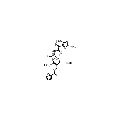 CON=C(C(=O)N[C@@H]1C(=O)N2C(C(=O)O)=C(CSC(=O)c3ccco3)CS[C@H]12)c1csc(N)n1.[NaH]